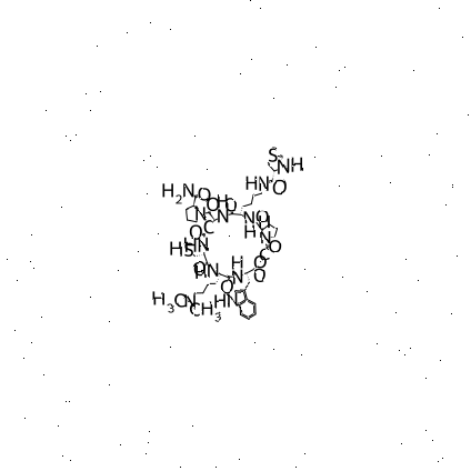 CN(C)CCCC[C@@H]1NC(=O)[C@H](CS)NC(=O)C[C@@H](C(=O)N2CCC[C@H]2C(N)=O)NC(=O)[C@H](CCCCNC(=O)[C@@H]2CSCN2)NC(=O)[C@@H]2CCCN2C(=O)COC(=O)[C@H](Cc2c[nH]c3ccccc23)NC1=O